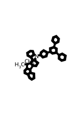 CC1(C)c2ccc3ccccc3c2-c2ccc3c(c21)c1ccccc1n3-c1ccc(-c2cc(-c3ccccc3)cc(-c3ccccc3)c2)cc1